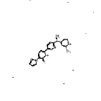 C[C@H]1C[C@@H](N(C)c2ccc(-c3ccc(-n4cccn4)c(=O)[nH]3)nn2)CCN1